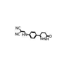 N#CC(C#N)=CNc1ccc(C2=NNC(=O)CC2)cc1